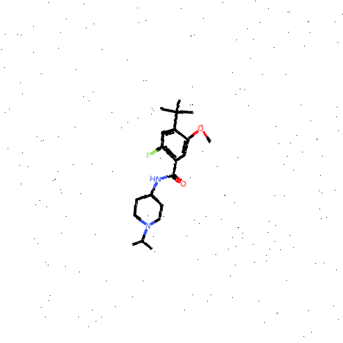 COc1cc(C(=O)NC2CCN(C(C)C)CC2)c(F)cc1C(C)(C)C